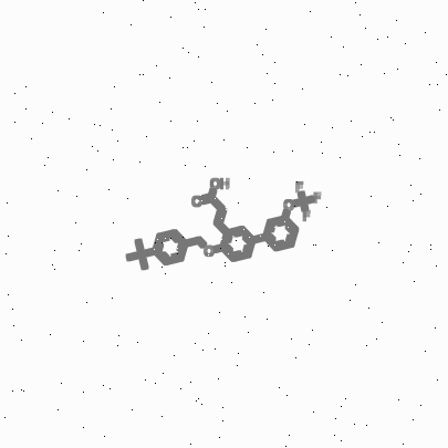 CC(C)(C)c1ccc(COc2ccc(-c3cccc(OC(F)(F)F)c3)cc2C=CC(=O)O)cc1